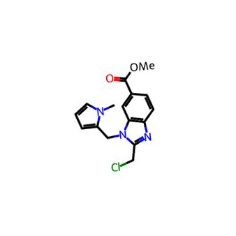 COC(=O)c1ccc2nc(CCl)n(Cc3cccn3C)c2c1